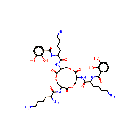 NCCCCC(N)C(=O)NC1COC(=O)C(NC(=O)C(CCCCN)NC(=O)c2cccc(O)c2O)COC(=O)C(NC(=O)C(CCCCN)NC(=O)c2cccc(O)c2O)COC1=O